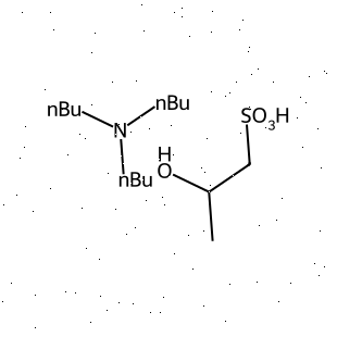 CC(O)CS(=O)(=O)O.CCCCN(CCCC)CCCC